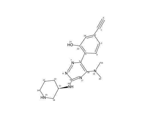 C#Cc1ccc(-c2nnc(N[C@@H]3CCCNC3)nc2N(C)C)c(O)c1